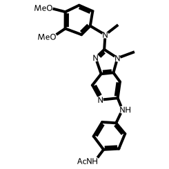 COc1ccc(N(C)c2nc3cnc(Nc4ccc(NC(C)=O)cc4)cc3n2C)cc1OC